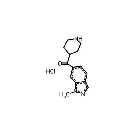 Cl.Cn1ncc2ccc(C(=O)C3CCNCC3)cc21